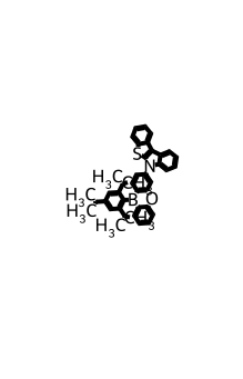 CC(C)c1cc(C(C)C)c(B2c3ccccc3Oc3cc(-n4c5ccccc5c5c6ccccc6sc54)ccc32)c(C(C)C)c1